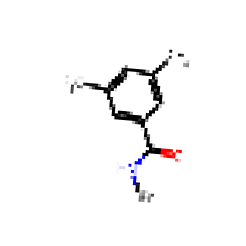 CC(C)NC(=O)c1cc(C(F)(F)F)cc(C(F)(F)F)c1